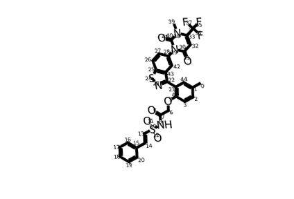 Cc1ccc(OCC(=O)NS(=O)(=O)/C=C/c2ccccc2)c(-c2nsc3ccc(-n4c(=O)cc(C(F)(F)F)n(C)c4=O)cc23)c1